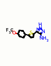 Nc1n[nH]nc1-c1ccc(-c2ccc(OC(F)(F)F)cc2)s1